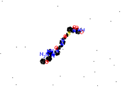 Nc1ncnc2c1c(-c1ccc(Oc3ccccc3)cc1)nn2C1CCCN(C(=O)/C=C/CN2CCN(CCOCCSc3cccc4c3CN(C3CCC(=O)NC3=O)C4=O)CC2)C1